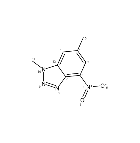 Cc1cc([N+](=O)[O-])c2nnn(C)c2c1